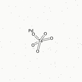 [O]=[Ta](=[O])(=[O])(=[O])=[O].[Pd]